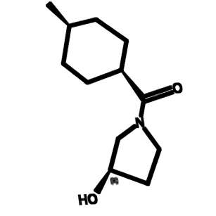 C[C@H]1CC[C@@H](C(=O)N2CC[C@@H](O)C2)CC1